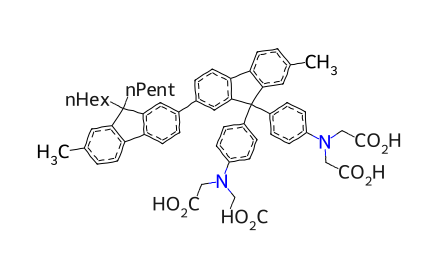 CCCCCCC1(CCCCC)c2cc(C)ccc2-c2ccc(-c3ccc4c(c3)C(c3ccc(N(CC(=O)O)CC(=O)O)cc3)(c3ccc(N(CC(=O)O)CC(=O)O)cc3)c3cc(C)ccc3-4)cc21